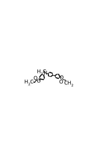 C=CC(=O)Oc1ccc(-c2ccc(N(C)c3ccc(OC(=O)C=C)cc3)cc2)cc1